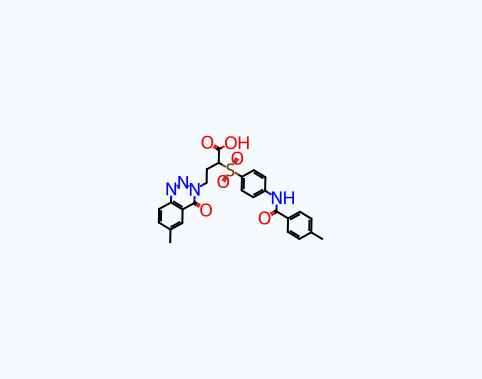 Cc1ccc(C(=O)Nc2ccc(S(=O)(=O)C(CCn3nnc4ccc(C)cc4c3=O)C(=O)O)cc2)cc1